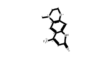 CN1CCOc2cc3[nH]c(=O)cc(C(F)(F)F)c3cc21